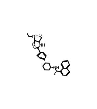 CCOC(=O)C(CO)NC(=O)c1ccc([C@H]2CCC[C@H](N[C@H](C)c3cccc4ccccc34)C2)cc1